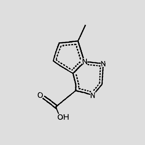 Cc1ccc2c(C(=O)O)ncnn12